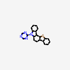 c1ccc2c(c1)sc1c2ccc2c1c1ccccc1n2-c1ncncn1